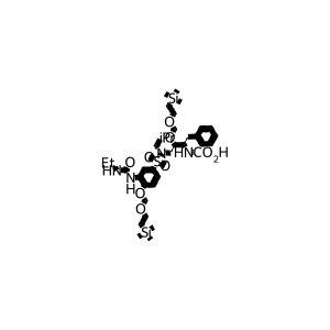 CCNC(=O)Nc1cc(S(=O)(=O)N(CC(C)C)C[C@H](OCOCC[Si](C)(C)C)[C@H](Cc2ccccc2)NC(=O)O)ccc1OCOCC[Si](C)(C)C